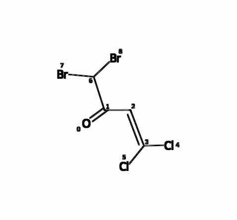 O=C(C=C(Cl)Cl)C(Br)Br